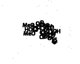 COc1cc([C@@H]2c3cc4c(cc3[C@@H](O[C@@H]3O[C@@H]5COC(c6cccs6)O[C@H]5[C@H](O)[C@H]3OC(C)(C)C)[C@H]3COC(=O)[C@H]23)OCO4)cc(OC)c1O